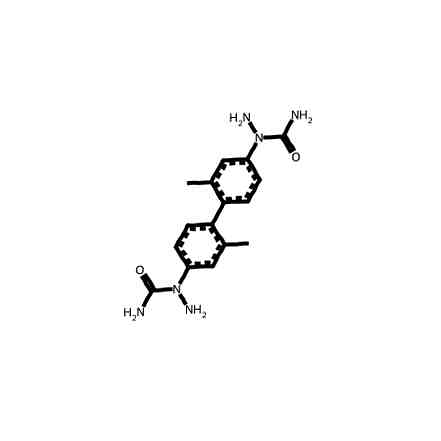 Cc1cc(N(N)C(N)=O)ccc1-c1ccc(N(N)C(N)=O)cc1C